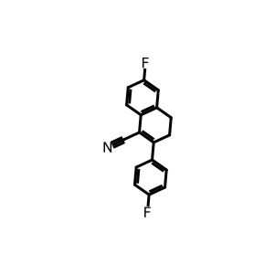 N#CC1=C(c2ccc(F)cc2)CCc2cc(F)ccc21